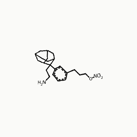 NCCC1(c2cccc(CCCO[N+](=O)[O-])c2)C2CC3CC(C2)CC1C3